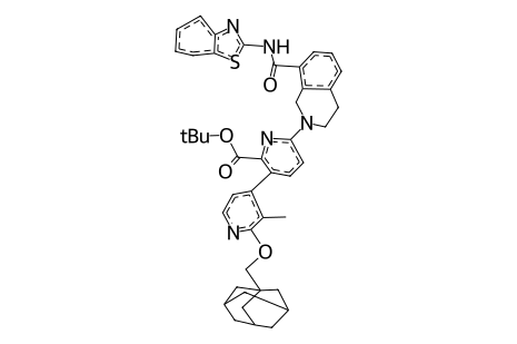 Cc1c(-c2ccc(N3CCc4cccc(C(=O)Nc5nc6ccccc6s5)c4C3)nc2C(=O)OC(C)(C)C)ccnc1OCC12CC3CC(CC(C3)C1)C2